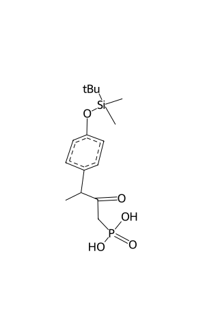 CC(C(=O)CP(=O)(O)O)c1ccc(O[Si](C)(C)C(C)(C)C)cc1